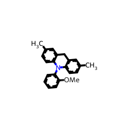 COc1ccccc1N1c2ccc(C)cc2Cc2cc(C)ccc21